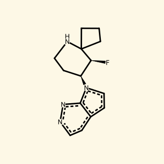 F[C@H]1[C@@H](n2ccc3ccnnc32)CCNC12CCC2